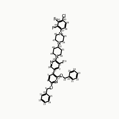 Fc1cc(-c2ccc(OCc3ccccc3)nc2OCc2ccccc2)cnc1N1CCC(N2CCN(c3ccc(Cl)c(F)c3F)CC2)CC1